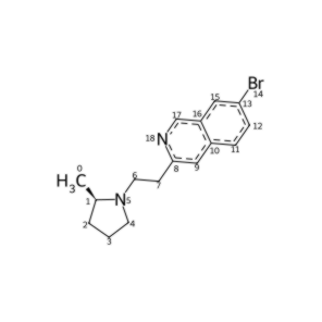 C[C@@H]1CCCN1CCc1cc2ccc(Br)cc2cn1